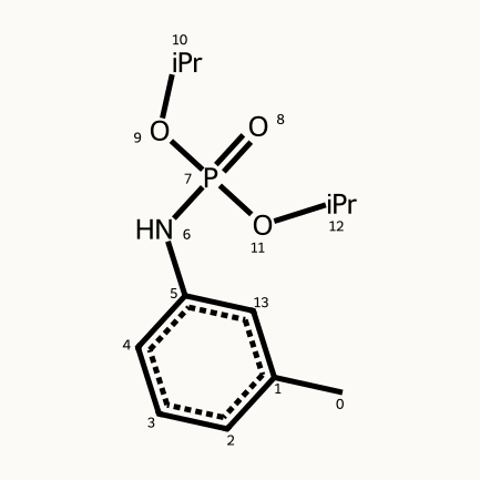 Cc1cccc(NP(=O)(OC(C)C)OC(C)C)c1